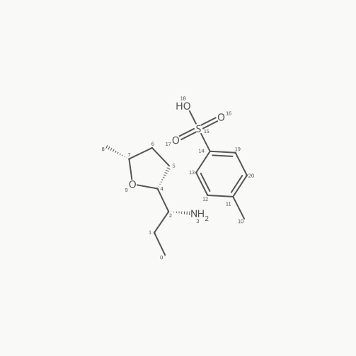 CC[C@@H](N)[C@H]1CC[C@@H](C)O1.Cc1ccc(S(=O)(=O)O)cc1